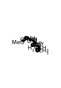 COC(=O)Cc1cccc(NC(=O)NCC(=O)N(CCC(C)C)c2ccccc2OCC(=O)N(C)c2c(C)cccc2C)c1